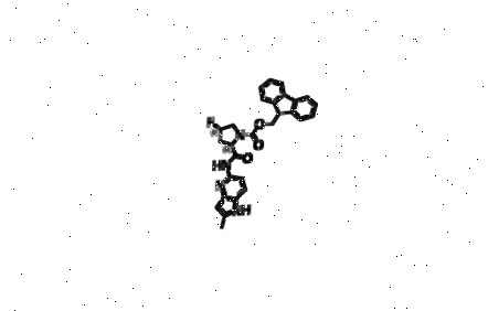 Cc1cc2nc(NC(=O)[C@H]3C[C@@H](F)CN3C(=O)OCC3c4ccccc4-c4ccccc43)ccc2[nH]1